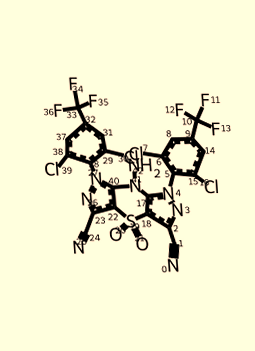 N#Cc1nn(-c2c(Cl)cc(C(F)(F)F)cc2Cl)c2c1S(=O)(=O)c1c(C#N)nn(-c3c(Cl)cc(C(F)(F)F)cc3Cl)c1N2N